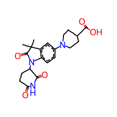 CC1(C)C(=O)N(C2CCC(=O)NC2=O)c2ccc(N3CCC(C(=O)O)CC3)cc21